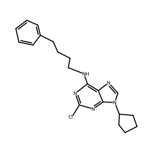 Clc1nc(NCCCCc2ccccc2)c2ncn(C3CCCC3)c2n1